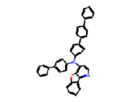 c1ccc(-c2ccc(-c3ccc(N(c4ccc(-c5ccccc5)cc4)c4ccnc5c4oc4ccccc45)cc3)cc2)cc1